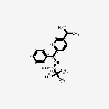 CC(C)c1ccc([C@@H](N[S@@+]([O-])C(C)(C)C)c2ccccc2)nc1